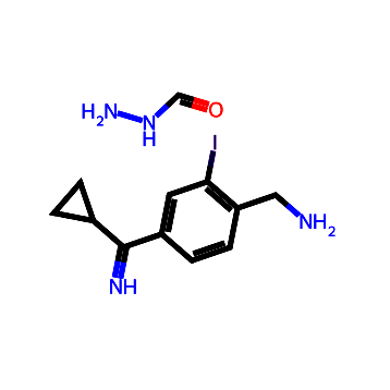 N=C(c1ccc(CN)c(I)c1)C1CC1.NNC=O